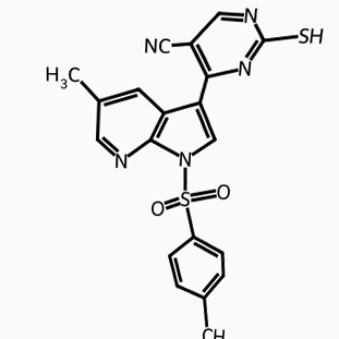 Cc1ccc(S(=O)(=O)n2cc(-c3nc(S)ncc3C#N)c3cc(C)cnc32)cc1